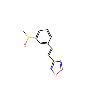 C[S+]([O-])c1cccc(C=Cc2ncon2)c1